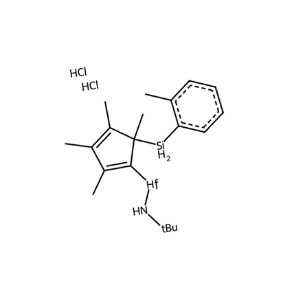 CC1=C(C)C(C)([SiH2]c2ccccc2C)[C]([Hf][NH]C(C)(C)C)=C1C.Cl.Cl